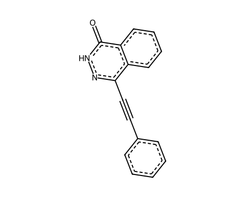 O=c1[nH]nc(C#Cc2ccccc2)c2ccccc12